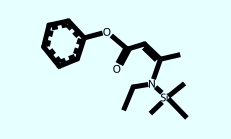 CCN(C(C)=CC(=O)Oc1ccccc1)[Si](C)(C)C